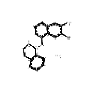 Br.Oc1cc2cccc(C[C@H]3NCCc4ccccc43)c2cc1O